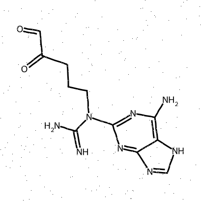 N=C(N)N(CCCC(=O)C=O)c1nc(N)c2[nH]cnc2n1